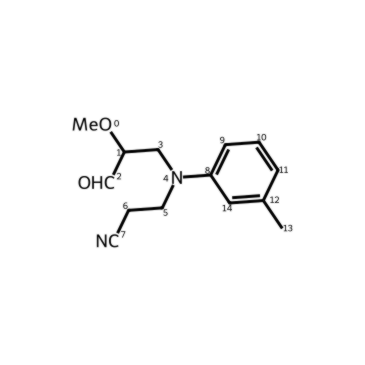 COC(C=O)CN(CCC#N)c1cccc(C)c1